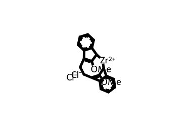 COC1=C2CCC3=C(OC)[CH]([Zr+2][CH]1c1ccccc12)c1ccccc13.[Cl-].[Cl-]